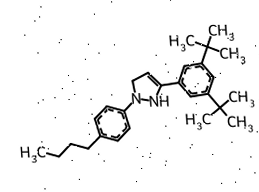 CCCCc1ccc(N2CC=C(c3cc(C(C)(C)C)cc(C(C)(C)C)c3)N2)cc1